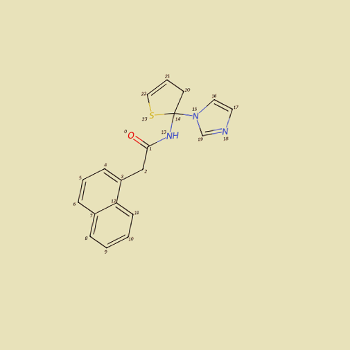 O=C(Cc1cccc2ccccc12)NC1(n2ccnc2)CC=CS1